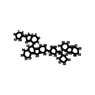 C1CCC(C2CC3CCCC(C4CC5CCCCC5C5CC6CC(C7CCC(N(C8CCCCC8)C8CCCC9C%10CCCCC%10CC98)CC7)CCC6C54)C3C2)CC1